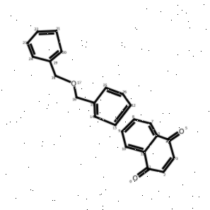 O=C1C=CC(=O)c2ccccc21.c1ccc(COCc2ccccc2)cc1